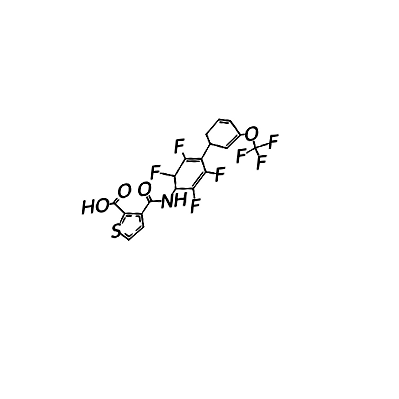 O=C(NC1C(F)=C(F)C(C2C=C(OC(F)(F)F)C=CC2)=C(F)C1F)c1ccsc1C(=O)O